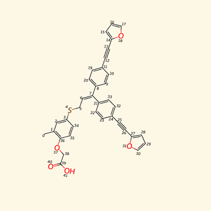 Cc1cc(SCC=C(c2ccc(C#Cc3ccco3)cc2)c2ccc(C#Cc3ccco3)cc2)ccc1OCC(=O)O